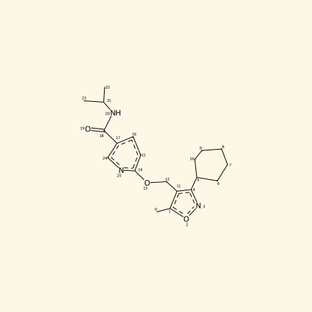 Cc1onc(C2CCCCC2)c1COc1ccc(C(=O)NC(C)C)cn1